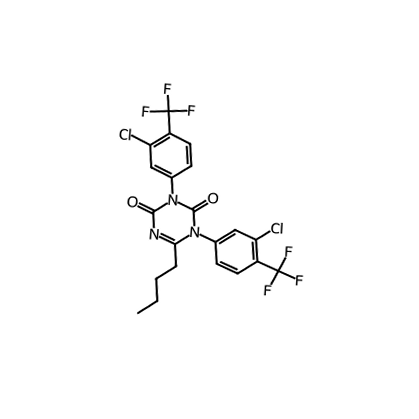 CCCCc1nc(=O)n(-c2ccc(C(F)(F)F)c(Cl)c2)c(=O)n1-c1ccc(C(F)(F)F)c(Cl)c1